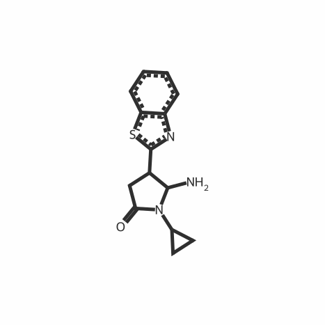 NC1C(c2nc3ccccc3s2)CC(=O)N1C1CC1